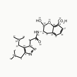 CN(C)Cc1nnn(CC(=O)N[C@H]2Cc3cccc(C(=O)O)c3OB2O)c1CN(C)C